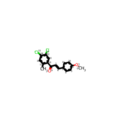 COc1ccc(C=CC(=O)c2cc(Cl)c(Cl)cc2C)cc1